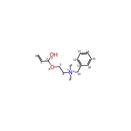 C=CC(O)OCC[N+](C)(C)Cc1ccccc1